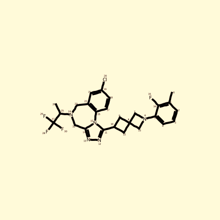 Cc1cccc(N2CC3(CC(c4nnc5n4-c4ccc(Cl)cc4CN(C(C)C(F)(F)F)C5)C3)C2)c1F